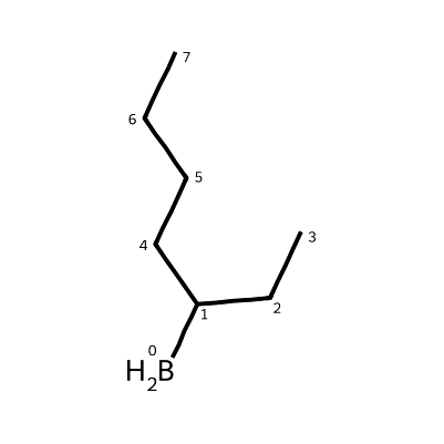 BC(CC)CCCC